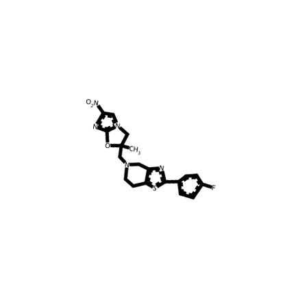 CC1(CN2CCc3sc(-c4ccc(F)cc4)nc3C2)Cn2cc([N+](=O)[O-])nc2O1